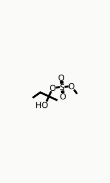 CCC(C)(O)OS(=O)(=O)OC